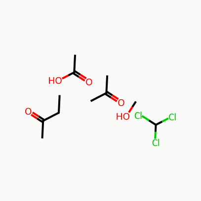 CC(=O)O.CC(C)=O.CCC(C)=O.CO.ClC(Cl)Cl